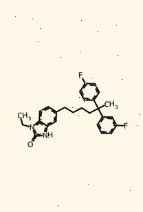 CCn1c(=O)[nH]c2cc(CCCCC(C)(c3ccc(F)cc3)c3cccc(F)c3)ccc21